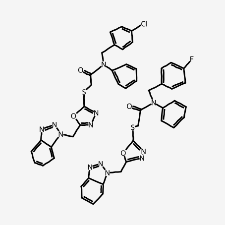 O=C(CSc1nnc(Cn2nnc3ccccc32)o1)N(Cc1ccc(Cl)cc1)c1ccccc1.O=C(CSc1nnc(Cn2nnc3ccccc32)o1)N(Cc1ccc(F)cc1)c1ccccc1